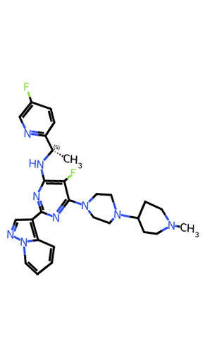 C[C@H](Nc1nc(-c2cnn3ccccc23)nc(N2CCN(C3CCN(C)CC3)CC2)c1F)c1ccc(F)cn1